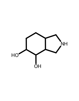 OC1CCC2CNCC2C1O